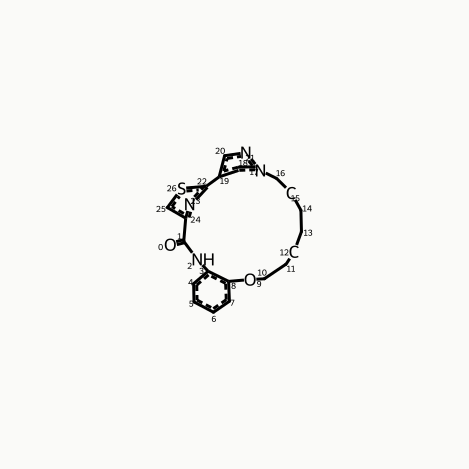 O=C1Nc2ccccc2OCCCCCCCn2cc(cn2)-c2nc1cs2